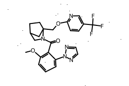 COc1cccc(-n2nccn2)c1C(=O)N1CC2CCC1(COc1ccc(C(F)(F)F)cn1)C2